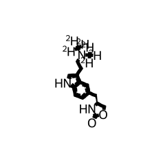 [2H]C([2H])([2H])N(CCc1c[nH]c2ccc(C[C@H]3COC(=O)N3)cc12)C([2H])([2H])[2H]